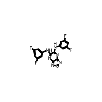 Fc1cc(F)cc(Nc2nc3nonc3nc2Nc2cc(F)cc(F)c2)c1